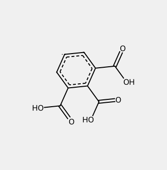 O=C(O)c1c[c]cc(C(=O)O)c1C(=O)O